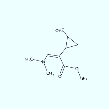 CN(C)C=C(C(=O)OC(C)(C)C)C1CC1C=O